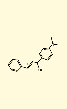 CN(C)c1ccc(C(O)/C=C/c2ccccc2)cc1